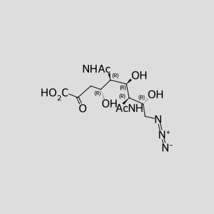 CC(=O)N[C@@H]([C@H](O)[C@H](NC(C)=O)[C@H](O)CC(=O)C(=O)O)[C@H](O)CN=[N+]=[N-]